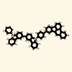 C1=CCC(n2c3c(c4cc(-c5ccc6c(c5)c5ccccc5n6-c5ccc(-c6ccc7c(c6)-c6cc8ccccc8c8cccc-7c68)cc5)ccc42)C=CCC3)C=C1